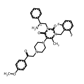 COc1ccc(C(=O)CN2CCN(c3c(C)n(Cc4c(F)cccc4F)c(=O)n(C[C@@H](N)c4ccccc4)c3=O)CC2)cc1